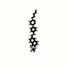 CCCCC[C@H]1CC[C@H](c2ccc(CCc3ccc4c(F)c(OC(F)(F)F)ccc4c3)cc2)CC1